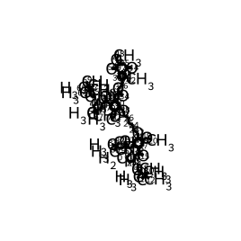 C=C1C[C@@H](CO[Si](C)(C)C(C)(C)C)N(C(=O)c2cc(OC)c(OCCCCCOc3cc(NC(=O)OCc4cc5c(n4C)C(=O)C=C(OC)C5=O)c(C(=O)N4CC(C)(C)C[C@H]4CO[Si](C)(C)C(C)(C)C)cc3OC)cc2NC(=O)OC(C)(C)C)C1